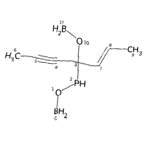 BOPC(C#CC)(C=CC)OB